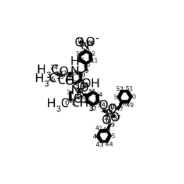 CC(C)CN(C[C@@H](O)[C@H](Cc1ccc([N+](=O)[O-])cc1)NC(=O)OC(C)(C)C)S(=O)(=O)c1ccc(OCP(=O)(OCc2ccccc2)OCc2ccccc2)cc1